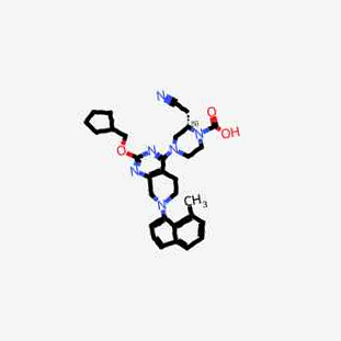 Cc1cccc2cccc(N3CCc4c(nc(OCC5CCCC5)nc4N4CCN(C(=O)O)[C@@H](CC#N)C4)C3)c12